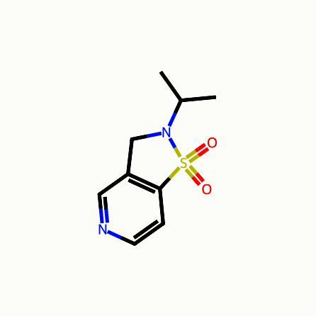 CC(C)N1Cc2cnccc2S1(=O)=O